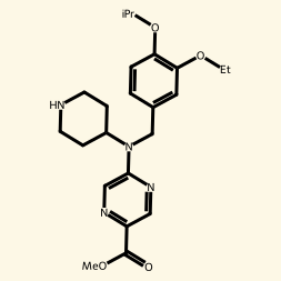 CCOc1cc(CN(c2cnc(C(=O)OC)cn2)C2CCNCC2)ccc1OC(C)C